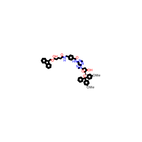 COc1ccc(C(OC[C@H]2O[C@@H](n3cnc4c(NC(=O)c5ccc(CNC(=O)CCC[C@H](O)OCC6c7ccccc7-c7ccccc76)cc5)ncnc43)CC2O)(c2ccccc2)c2ccc(OC)cc2)cc1